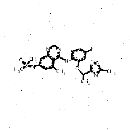 Cc1noc(C(C)Oc2cc(F)ccc2Nc2ncnc3cc(N=S(C)(C)=O)cc(C)c23)n1